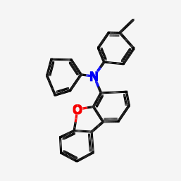 Cc1ccc(N(c2ccccc2)c2cccc3c2oc2ccccc23)cc1